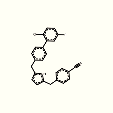 N#Cc1ccc(Cc2cnc(Cc3ccc(-c4cc(Cl)ccc4Cl)cc3)[nH]2)cc1